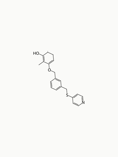 CC1=C(O)[CH]CC=C1OCc1cccc(CSc2ccncc2)c1